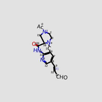 CC(=O)N1CCN2Cc3cc(/C=C/C=O)cnc3NC(=O)C2C1